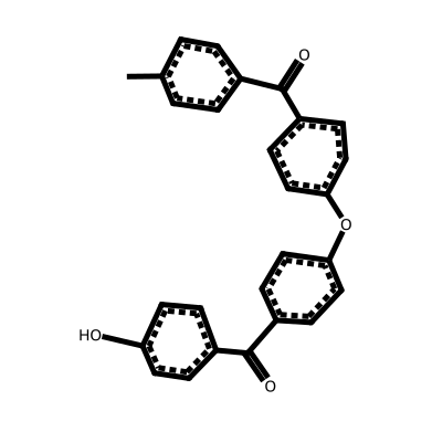 Cc1ccc(C(=O)c2ccc(Oc3ccc(C(=O)c4ccc(O)cc4)cc3)cc2)cc1